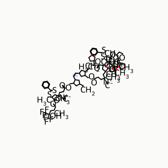 [C-]#[N+]C(C)(CCC(=O)OCC1CC(/C=C\C2CC(C=C)CC2COC(=O)CCC(C)(CC(C)(SC(=S)c2ccccc2)C(=O)OCC(C)CC(O)(C(F)(F)F)C(F)(F)F)[N+]#[C-])CC1C=C)CC(C)(CC(C)(CC(C)(CC(C)(SC(=S)c1ccccc1)C(=O)OC1CCOC1=O)C(=O)OC1(CC)CCCC1)C(=O)OC1(CC)CCCC1)C(=O)OCC(C)(F)F